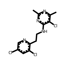 Cc1nc(C)c(Cl)c(NCCc2ncc(Cl)cc2Cl)n1